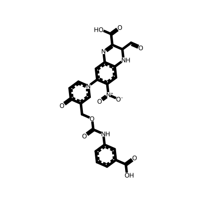 O=CC1Nc2cc([N+](=O)[O-])c(-n3ccc(=O)c(COC(=O)Nc4cccc(C(=O)O)c4)c3)cc2N=C1C(=O)O